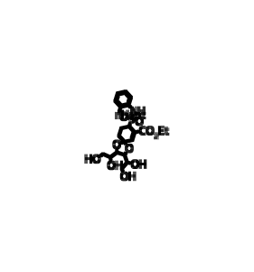 CCCCCCCc1ccccc1NS(=O)(=O)C1CCC2(C=C1C(=O)OCC)OC(C(O)CO)C(C(O)CO)O2